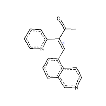 CC(=O)/C(=C/c1cccc2cnccc12)c1ccccn1